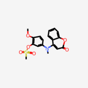 COc1ccc(N(C)c2cc(=O)oc3ccccc23)cc1OS(C)(=O)=O